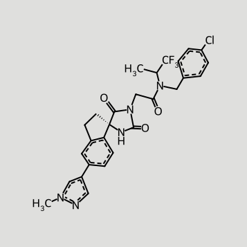 CC(N(Cc1ccc(Cl)cc1)C(=O)CN1C(=O)N[C@]2(CCc3cc(-c4cnn(C)c4)ccc32)C1=O)C(F)(F)F